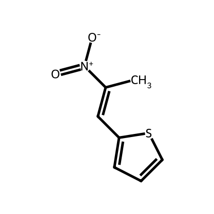 C/C(=C\c1cccs1)[N+](=O)[O-]